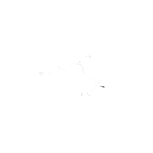 COCCO[C@H](C)CC[C@@H](C)N